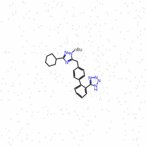 CCCCn1nc(C2CCCCC2)nc1Cc1ccc(-c2ccccc2-c2nnn[nH]2)cc1